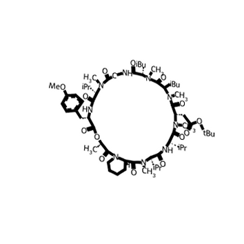 CCC(C)C1C(=O)N(C)[C@@H](C(C)CC)C(=O)NCC(=O)N(C)[C@@H](C(C)C)C(=O)N[C@@H](Cc2ccc(OC)cc2)C(=O)O[C@@H](C)C(=O)N2CCCC[C@H]2C(=O)N(C)[C@@H](C(C)C)C(=O)N[C@@H](C(C)C)C(=O)N(C)[C@@H](CC(=O)OC(C)(C)C)C(=O)N1C